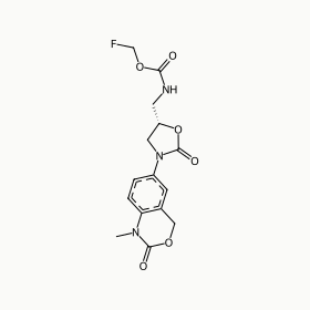 CN1C(=O)OCc2cc(N3C[C@H](CNC(=O)OCF)OC3=O)ccc21